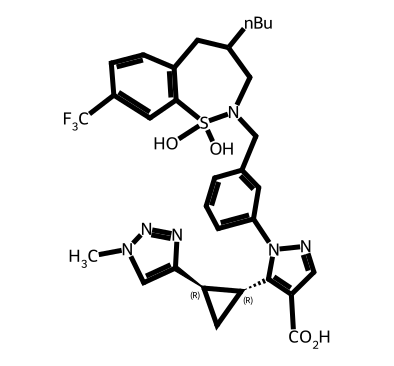 CCCCC1Cc2ccc(C(F)(F)F)cc2S(O)(O)N(Cc2cccc(-n3ncc(C(=O)O)c3[C@@H]3C[C@H]3c3cn(C)nn3)c2)C1